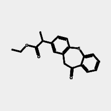 CCOC(=O)C(C)c1ccc2c(c1)CC(=O)c1ccccc1S2